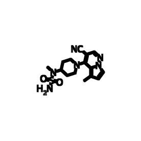 Cc1ccn2ncc(C#N)c(N3CCC(N(C)S(N)(=O)=O)CC3)c12